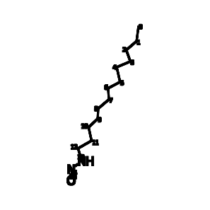 CCCCCCCCCCCCCNN=O